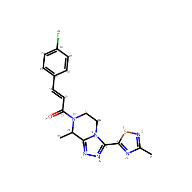 Cc1nsc(-c2nnc3n2CCN(C(=O)/C=C/c2ccc(F)cc2)C3C)n1